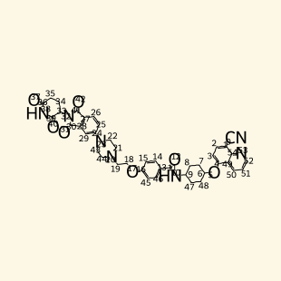 N#Cc1ccc(OC2CCC(NC(=O)c3ccc(OCCN4CCN(c5ccc6c(c5)C(=O)N(C5CCC(=O)NC5=O)C6=O)CC4)cc3)CC2)c2cccnc12